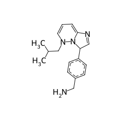 CC(C)CN1C=CC=C2N=CC(c3ccc(CN)cc3)N21